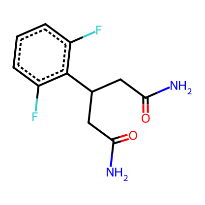 NC(=O)CC(CC(N)=O)c1c(F)cccc1F